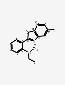 CC[S+]([O-])c1ccccc1-c1nc2cc(C)cnc2s1